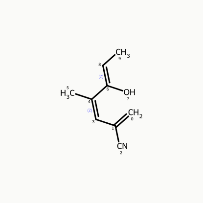 C=C(C#N)/C=C(C)\C(O)=C\C